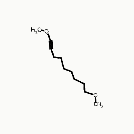 COC#CCCCCCCCOC